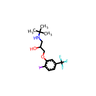 CC(C)(C)NCC(O)COc1cc(C(F)(F)F)ccc1I